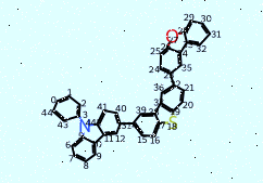 c1ccc(-n2c3ccccc3c3cc(-c4ccc5sc6ccc(-c7ccc8oc9ccccc9c8c7)cc6c5c4)ccc32)cc1